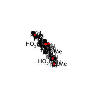 CCc1cc(O)ccc1-c1ccc(C[C@H](NC(=O)[C@H](CC(=O)O)NC(=O)[C@H](CO)NC(=O)[C@@H](NC(=O)C(C)(Cc2ccccc2F)NC(=O)[C@@H](NC(=O)CNC(=O)[C@H](CCC(=O)O)NC(=O)C2(C)CCCN2C(=O)[C@H](Cc2c[nH]cn2)NC(=O)OC)[C@@H](C)OC)[C@@H](C)O)C(=O)N[C@@H](Cc2ccc(-c3ccccc3C)nc2)C(N)=O)cc1